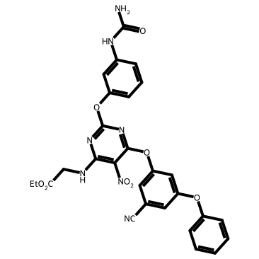 CCOC(=O)CNc1nc(Oc2cccc(NC(N)=O)c2)nc(Oc2cc(C#N)cc(Oc3ccccc3)c2)c1[N+](=O)[O-]